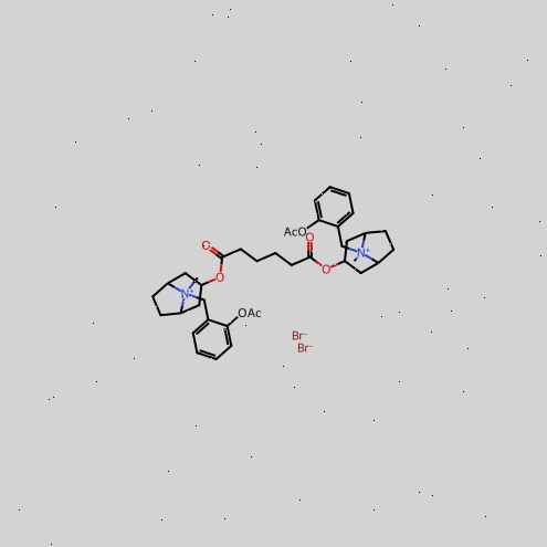 CC(=O)Oc1ccccc1C[N+]1(C)C2CCC1CC(OC(=O)CCCCC(=O)OC1CC3CCC(C1)[N+]3(C)Cc1ccccc1OC(C)=O)C2.[Br-].[Br-]